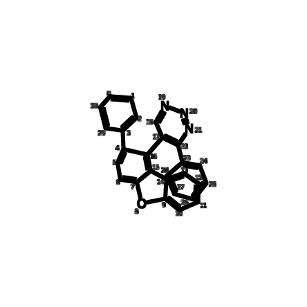 c1ccc(-c2ccc3oc4ccccc4c3c2-c2cnnnc2-c2ccccc2)cc1